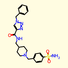 NS(=O)(=O)c1ccc(CN2CCC(CNC(=O)c3cn(Cc4ccccc4)nn3)CC2)cc1